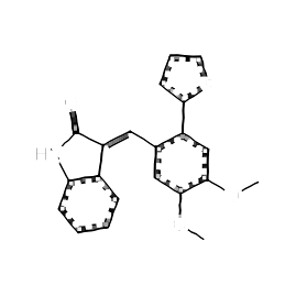 COc1cc(/C=C2/C(=O)Nc3ccccc32)c(-c2cccs2)cc1OC